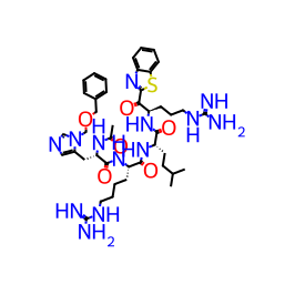 CC(=O)N[C@@H](Cc1cncn1COCc1ccccc1)C(=O)N[C@@H](CCCCNC(=N)N)C(=O)N[C@@H](CCC(C)C)C(=O)N[C@H](CCCNC(=N)N)C(=O)c1nc2ccccc2s1